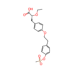 CCO[C@@H](Cc1ccc(OCCc2ccc(OS(C)(=O)=O)cc2)cc1)C(=O)O